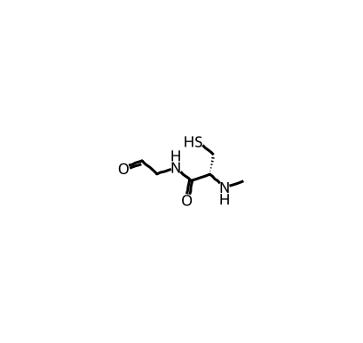 CN[C@@H](CS)C(=O)NCC=O